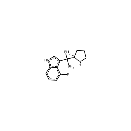 BC(B)(c1c[nH]c2cccc(F)c12)[C@H]1CCCN1